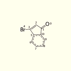 O=C1C=C(Br)c2ccccc21